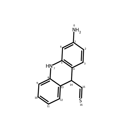 Nc1ccc2c(c1)Nc1ccccc1C2C=S